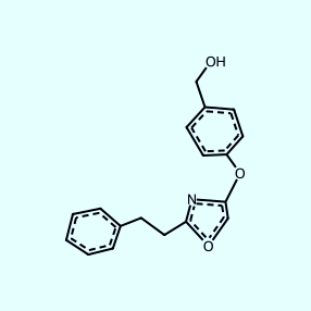 OCc1ccc(Oc2coc(CCc3ccccc3)n2)cc1